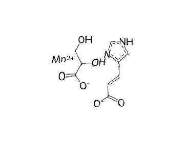 O=C([O-])C(O)CO.O=C([O-])C=Cc1c[nH]cn1.[Mn+2]